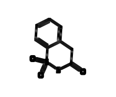 O=C1Cc2ccccc2S(=O)(=O)S1